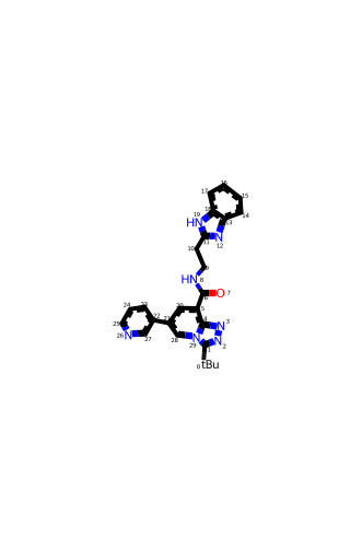 CC(C)(C)c1nnc2c(C(=O)NCCc3nc4ccccc4[nH]3)cc(-c3cccnc3)cn12